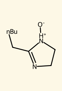 CCCCCC1=NCC[NH+]1[O-]